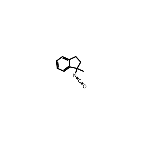 CC1(N=C=O)CCc2ccccc21